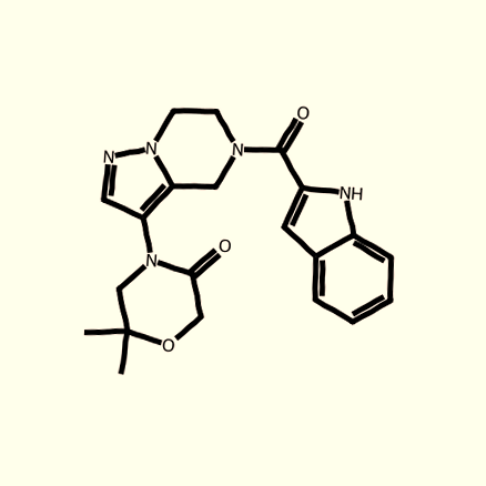 CC1(C)CN(c2cnn3c2CN(C(=O)c2cc4ccccc4[nH]2)CC3)C(=O)CO1